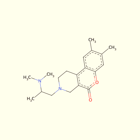 Cc1cc2oc(=O)c3c(c2cc1C)CCN(CC(C)N(C)C)C3